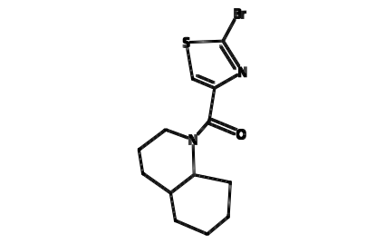 O=C(c1csc(Br)n1)N1CCCC2CCCCC21